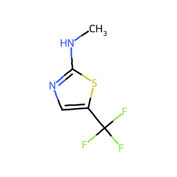 CNc1ncc(C(F)(F)F)s1